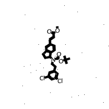 COC(=O)/C=C/c1ccc2c(c1)CCC2N(CCc1cc(Cl)cc(Cl)c1)C(=O)OC(C)(C)C